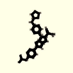 CC(C)Oc1ccc(-c2cc3c(cc(C(=O)O)n3-c3ccc(OC4CCCC4)cc3)s2)cc1